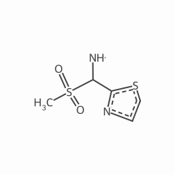 CS(=O)(=O)C([NH])c1nccs1